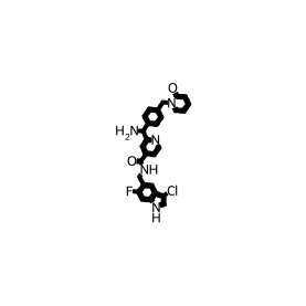 NC(c1ccc(Cn2ccccc2=O)cc1)c1cc(C(=O)NCc2cc3c(Cl)c[nH]c3cc2F)ccn1